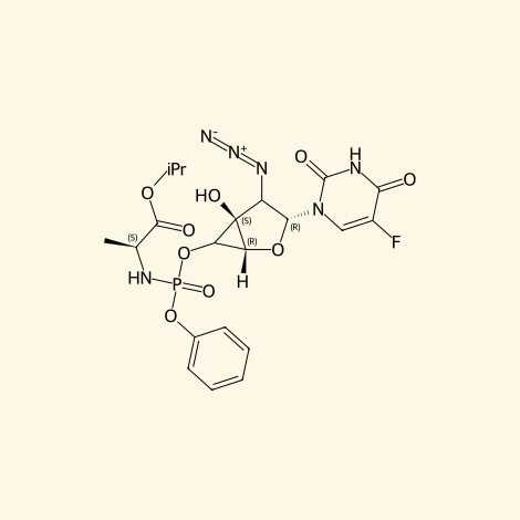 CC(C)OC(=O)[C@H](C)NP(=O)(Oc1ccccc1)OC1[C@H]2O[C@@H](n3cc(F)c(=O)[nH]c3=O)C(N=[N+]=[N-])[C@@]12O